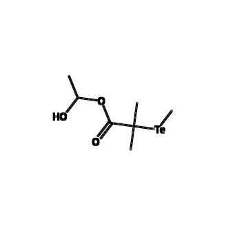 C[Te]C(C)(C)C(=O)OC(C)O